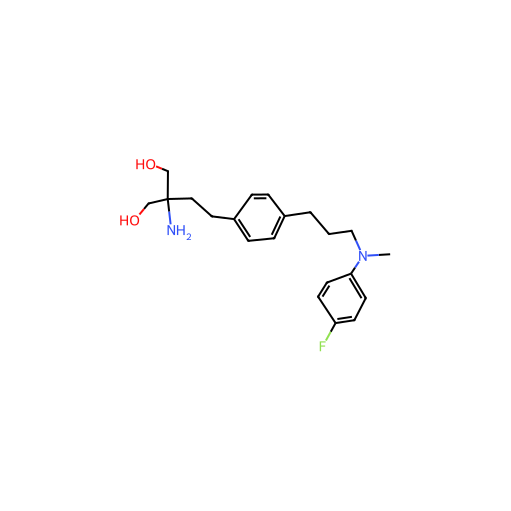 CN(CCCc1ccc(CCC(N)(CO)CO)cc1)c1ccc(F)cc1